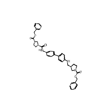 O=C(Nc1ccc(-c2ccc(NCC3CCN(C(=O)OCc4ccccc4)C3)cc2)cc1)C1CCN(C(=O)OCc2ccccc2)C1